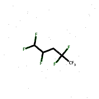 FC(F)C(F)CC(F)(F)C(F)(F)F